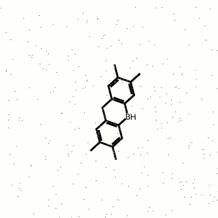 Cc1cc2c(cc1C)Cc1cc(C)c(C)cc1B2